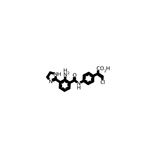 Nc1c(C(=O)Nc2ccc(/C(=C\Cl)C(=O)O)cc2)cccc1C1=NCCN1